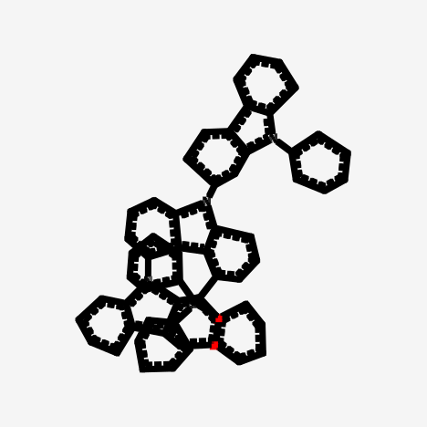 c1ccc(-n2c3ccccc3c3ccc(-n4c5cccc(-n6c7ccccc7c7ccccc76)c5c5c([Si](c6ccccc6)(c6ccccc6)c6ccccc6)cccc54)cc32)cc1